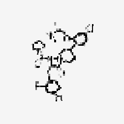 C[C@H](COc1cc(Cl)ccc1C1CCN(C(=O)[C@@H](Cc2ccc(Cl)cc2F)NC(=O)N2CCCC2)CC1)N(C)C